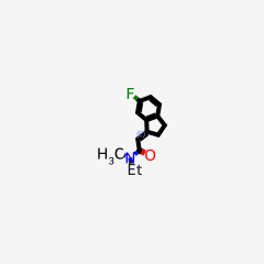 CCN(C)C(=O)/C=C1\CCc2ccc(F)cc21